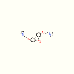 O=C1c2cc(OCCN3CCC3)ccc2-c2cc(OCCN3CCC3)ccc21